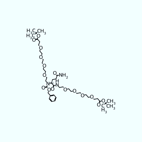 CC(C)(C)OC(=O)CCOCCOCCOCCOCCNC(=O)[C@H](CCC(N)=O)N(CCOCCOCCOCCOCCC(=O)OC(C)(C)C)C(=O)OCc1ccccc1